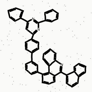 c1ccc(-c2cc(-c3ccc(-c4cccc(-c5cccc6c(-c7cccc8ccccc78)nc7ccccc7c56)c4)cc3)nc(-c3ccccc3)n2)cc1